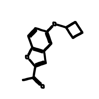 CC(=O)c1cc2cc(OC3CCC3)ccc2o1